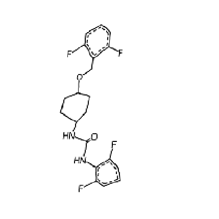 O=C(Nc1c(F)cccc1F)NC1CCC(OCc2c(F)cccc2F)CC1